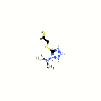 CN(C)n1nnnc1SCC=S